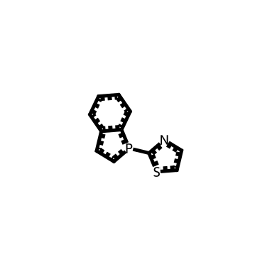 c1ccc2c(c1)ccp2-c1nccs1